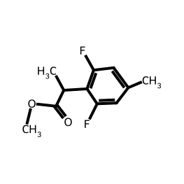 COC(=O)C(C)c1c(F)cc(C)cc1F